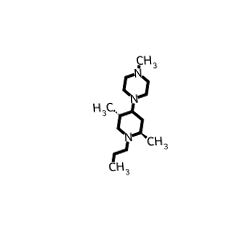 CCCN1C[C@H](C)C(N2CCN(C)CC2)C[C@H]1C